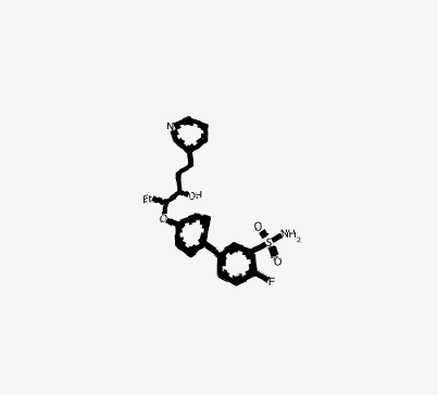 CCC(Oc1ccc(-c2ccc(F)c(S(N)(=O)=O)c2)cc1)C(O)CCc1cccnc1